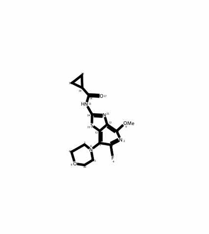 COc1nc(F)c(N2CCOCC2)c2sc(NC(=O)C3CC3)nc12